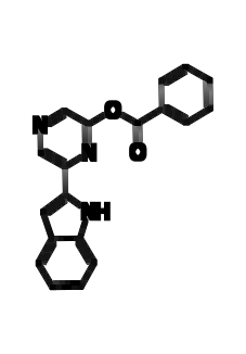 O=C(Oc1cncc(-c2cc3ccccc3[nH]2)n1)c1ccccc1